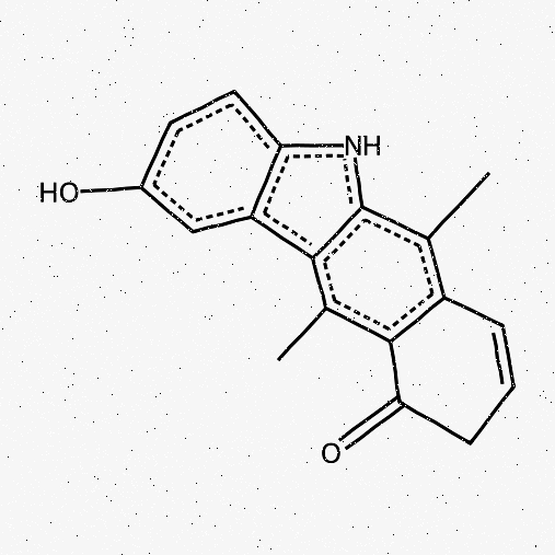 Cc1c2c(c(C)c3c1[nH]c1ccc(O)cc13)C(=O)CC=C2